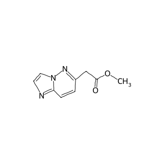 COC(=O)Cc1ccc2nccn2n1